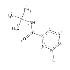 CC(C)(C)NC(=O)c1cncc([O])n1